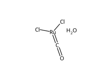 O.O=[C]=[Ru]([Cl])[Cl]